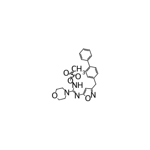 CS(=O)(=O)ONC(=Nc1cc(Cc2ccc(-c3ccccc3)cc2)no1)N1CCOCC1